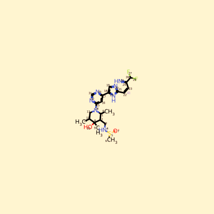 CC1C(CN[S+](C)[O-])C(C)(O)C(C)CN1c1cc(-c2cnc(/C=C\C(=N)C(F)F)[nH]2)ncn1